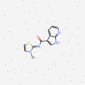 CCn1ccs/c1=N\C(=O)c1c[nH]c2ncccc12